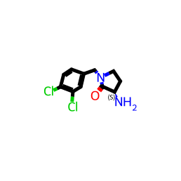 N[C@H]1CCN(Cc2ccc(Cl)c(Cl)c2)C1=O